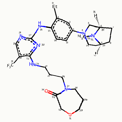 CCc1cc(N2C[C@H]3CC[C@@H](C2)N3C)ccc1Nc1ncc(C(F)(F)F)c(NCCCN2CCCOCC2=O)n1